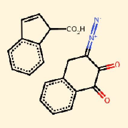 O=C(O)C1C=Cc2ccccc21.[N-]=[N+]=C1Cc2ccccc2C(=O)C1=O